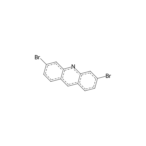 Brc1ccc2cc3ccc(Br)cc3nc2c1